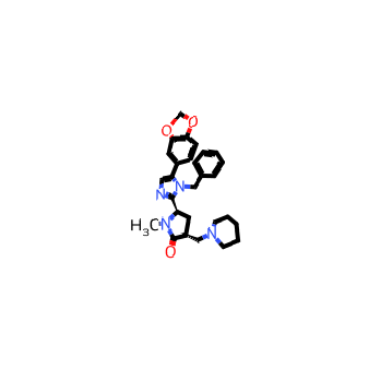 CN1C(=O)[C@H](CN2CCCCC2)C[C@@H]1c1ncc(-c2ccc3c(c2)OCO3)n1Cc1ccccc1